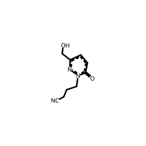 N#CCCCn1nc(CO)ccc1=O